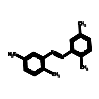 Cc1ccc(C)c(N=Nc2cc(C)ccc2C)c1